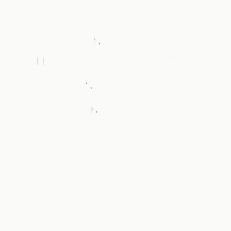 Cc1ccc(Cc2cc(O)n(-c3cc(C(=O)O)ccn3)n2)cc1